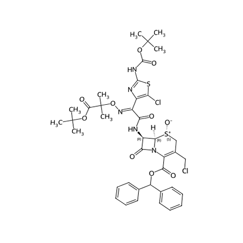 CC(C)(C)OC(=O)Nc1nc(C(=NOC(C)(C)C(=O)OC(C)(C)C)C(=O)N[C@@H]2C(=O)N3C(C(=O)OC(c4ccccc4)c4ccccc4)=C(CCl)C[S@@+]([O-])[C@H]23)c(Cl)s1